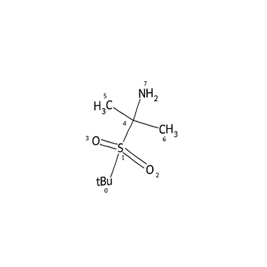 CC(C)(C)S(=O)(=O)C(C)(C)N